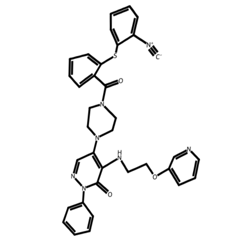 [C-]#[N+]c1ccccc1Sc1ccccc1C(=O)N1CCN(c2cnn(-c3ccccc3)c(=O)c2NCCOc2cccnc2)CC1